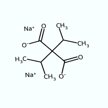 CC(C)C(C(=O)[O-])(C(=O)[O-])C(C)C.[Na+].[Na+]